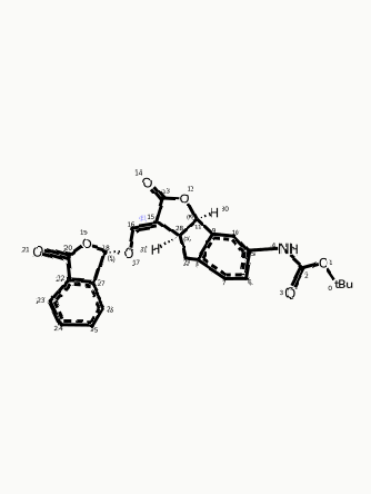 CC(C)(C)OC(=O)Nc1ccc2c(c1)[C@@H]1OC(=O)/C(=C/O[C@H]3OC(=O)c4ccccc43)[C@@H]1C2